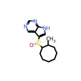 CC1CCCCCCC1[S+]([O-])c1c[nH]c2ncncc12